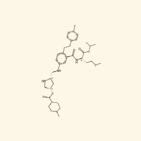 CSCC[C@H](NC(=O)c1cc(NC[C@@H]2C[C@H](SC(=O)C3CCN(C)CC3)CN2)ccc1CCc1ccc(F)cc1)C(=O)OC(C)C